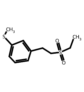 CCS(=O)(=O)CCc1cccc(SC)c1